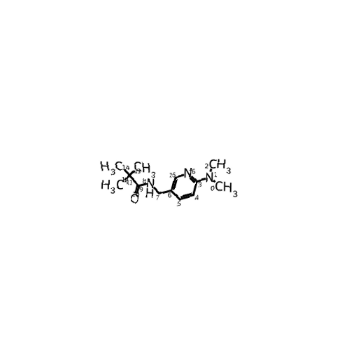 CN(C)c1ccc(CNC(=O)C(C)(C)C)cn1